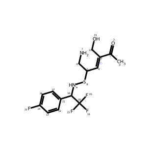 CC(=O)/C(=C/C(CN)SNC(c1ccc(F)cc1)C(F)(F)F)CO